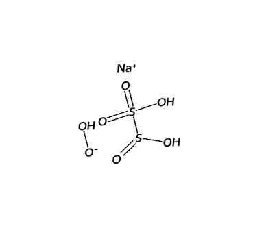 O=S(O)S(=O)(=O)O.[Na+].[O-]O